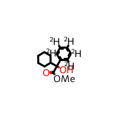 [2H]c1c([2H])c([2H])c(C(O)(C(=O)OC)C2CCCCC2)c([2H])c1[2H]